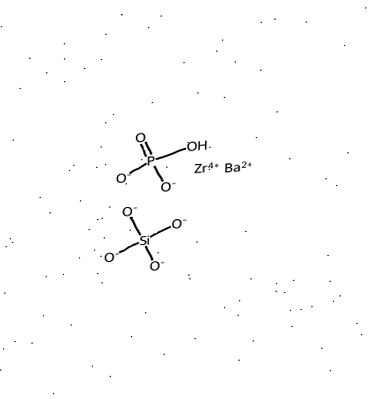 O=P([O-])([O-])O.[Ba+2].[O-][Si]([O-])([O-])[O-].[Zr+4]